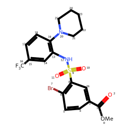 COC(=O)c1ccc(Br)c(S(=O)(=O)Nc2cc(C(F)(F)F)ccc2N2CCCCC2)c1